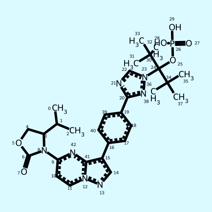 CC(C)C1COC(=O)N1c1ccn2ncc(-c3ccc(-c4ncn(C(OP(=O)(O)O)(C(C)(C)C)C(C)(C)C)n4)cc3)c2n1